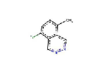 Cc1ccc(Br)c2cnncc12